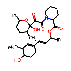 COC1C=C(/C=C/C(OC(=O)C2CCCCN2C(=O)C(=O)C2(O)OC(C(C)C)CCC2C)C(C)C)CCC1O